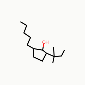 CCCCCC1CCC(C(C)(C)CC)C1O